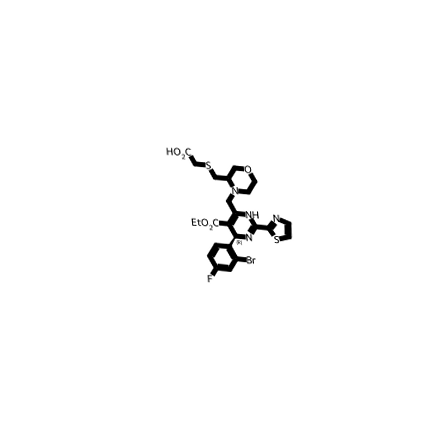 CCOC(=O)C1=C(CN2CCOCC2CSCC(=O)O)NC(c2nccs2)=N[C@H]1c1ccc(F)cc1Br